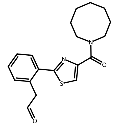 O=CCc1ccccc1-c1nc(C(=O)N2CCCCCCC2)cs1